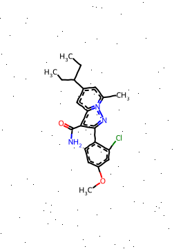 CCC(CC)c1cc(C)n2nc(-c3ccc(OC)cc3Cl)c(C(N)=O)c2c1